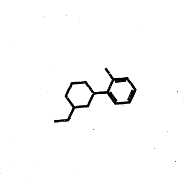 CCC1CCCC(c2ccccc2C)C1